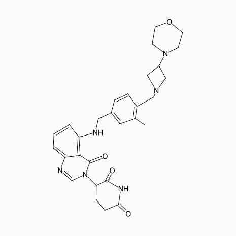 Cc1cc(CNc2cccc3ncn(C4CCC(=O)NC4=O)c(=O)c23)ccc1CN1CC(N2CCOCC2)C1